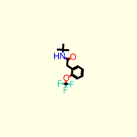 CC(C)(C)NC(=O)Cc1ccccc1OC(F)(F)F